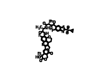 CC[C@@]1(O)C(=O)OCc2c1cc1n(c2=O)Cc2c-1nc1cc(F)c(NC(=O)[C@H](C)NC(=O)[C@@H](NC(=O)c3cc4sc(S(=O)(=O)C5CC5)nc4cc3F)C(C)C)c3c1c2CCO3